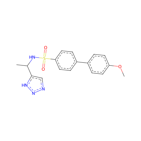 COc1ccc(-c2ccc(S(=O)(=O)NC(C)c3cnn[nH]3)cc2)cc1